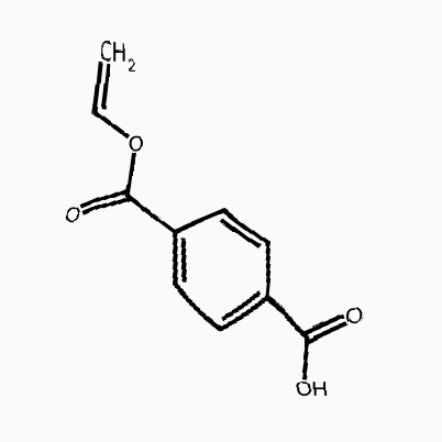 C=COC(=O)c1ccc(C(=O)O)cc1